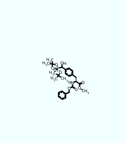 COC(=O)[C@H](Cc1ccc(C(O)P(=O)(OC(C)(C)C)OC(C)(C)C)cc1)NC(=O)OCc1ccccc1